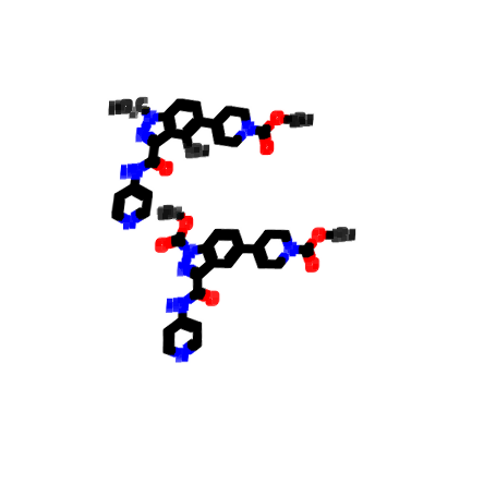 CC(C)(C)OC(=O)N1CC=C(c2ccc3c(c(C(=O)Nc4ccncc4)nn3C(=O)O)c2C(C)(C)C)CC1.CC(C)(C)OC(=O)N1CC=C(c2ccc3c(c2)c(C(=O)Nc2ccncc2)nn3C(=O)OC(C)(C)C)CC1